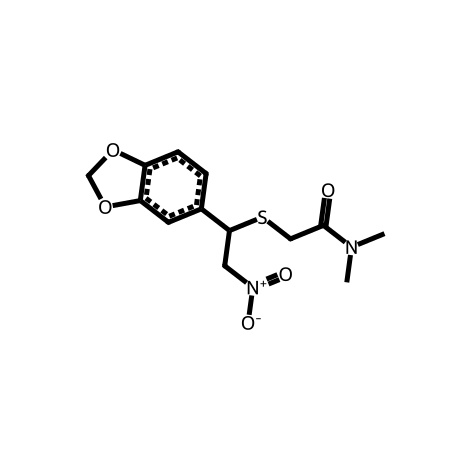 CN(C)C(=O)CSC(C[N+](=O)[O-])c1ccc2c(c1)OCO2